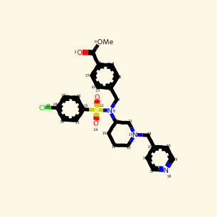 COC(=O)c1ccc(CN(C2CCCN(Cc3ccncc3)C2)S(=O)(=O)c2ccc(Cl)cc2)cc1